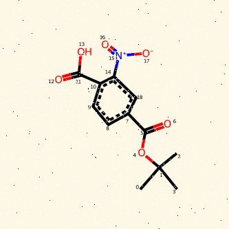 CC(C)(C)OC(=O)c1ccc(C(=O)O)c([N+](=O)[O-])c1